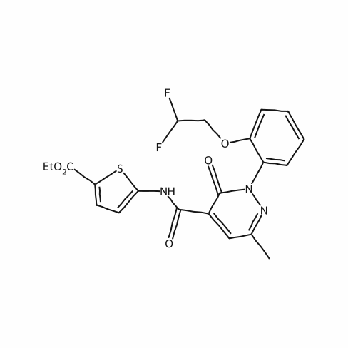 CCOC(=O)c1ccc(NC(=O)c2cc(C)nn(-c3ccccc3OCC(F)F)c2=O)s1